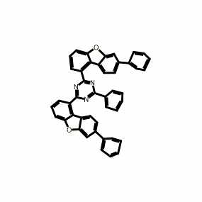 c1ccc(-c2ccc3c(c2)oc2cccc(-c4nc(-c5ccccc5)nc(-c5cccc6oc7cc(-c8ccccc8)ccc7c56)n4)c23)cc1